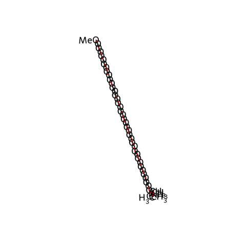 COCCOCCOCCOCCOCCOCCOCCOCCOCCOCCOCCOCCOCCOCCOCCOCCOCCOCCOCCOCCOCCOCCOCCOCCOCCOCCOCCOCCOCCOCCOCCOCCOCCOCCOCCOCCOCCOCCOCCN1C(=O)C(C)(C)NC1(C)C